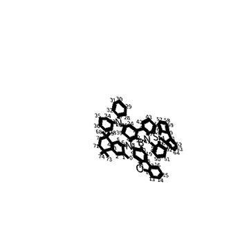 Cc1cc2c(cc1N1c3cc4oc5ccccc5c4cc3B3c4c(cc(N(c5ccccc5)c5ccccc5)cc41)-c1cccc4c1N3c1ccccc1[Si]41c3ccccc3-c3ccccc31)C(C)(C)CCC2(C)C